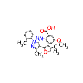 COc1ccc(Nc2c(-c3cc(C)co3)c(C)nn2-c2ccccc2C)c(C(=O)O)c1